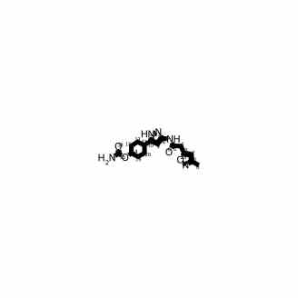 Cc1cc(CC(=O)Nc2cc(C3CCC(OC(N)=O)CC3)[nH]n2)on1